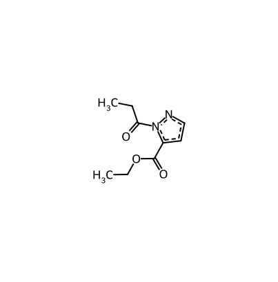 CCOC(=O)c1ccnn1C(=O)CC